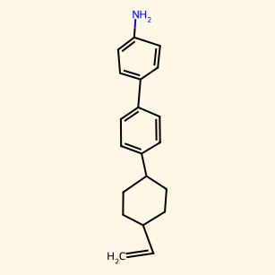 C=CC1CCC(c2ccc(-c3ccc(N)cc3)cc2)CC1